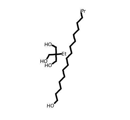 CC(C)CCCCCCCCCCCCCCCO.CCC(CO)(CO)CO